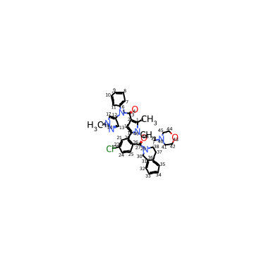 Cc1c(C(=O)N(c2cc[c]cc2)c2cnn(C)c2)cc(-c2cc(Cl)ccc2C(=O)N2Cc3ccccc3C[C@H]2CN2CCOCC2)n1C